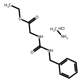 CCOC(=O)CNC(=O)NCc1ccccc1.CN.Cl